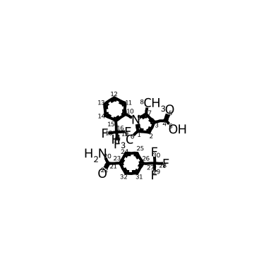 Cc1cc(C(=O)O)c(C)n1-c1ccccc1C(F)(F)F.NC(=O)c1ccc(C(F)(F)F)cc1